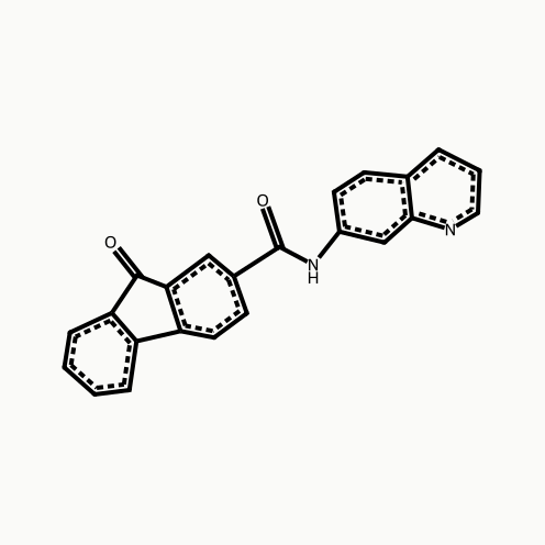 O=C(Nc1ccc2cccnc2c1)c1ccc2c(c1)C(=O)c1ccccc1-2